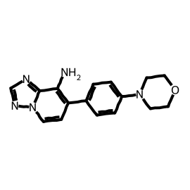 Nc1c(-c2ccc(N3CCOCC3)cc2)ccn2ncnc12